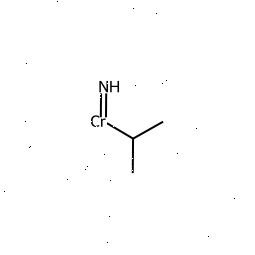 C[CH](C)[Cr]=[NH]